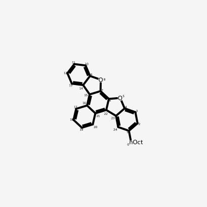 CCCCCCCCc1ccc2oc3c4oc5ccccc5c4c4ccccc4c3c2c1